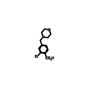 CCc1cc(CN2CCOCC2)ccc1C(=O)O